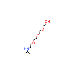 CC(C)NCCOCCOCCOCCO